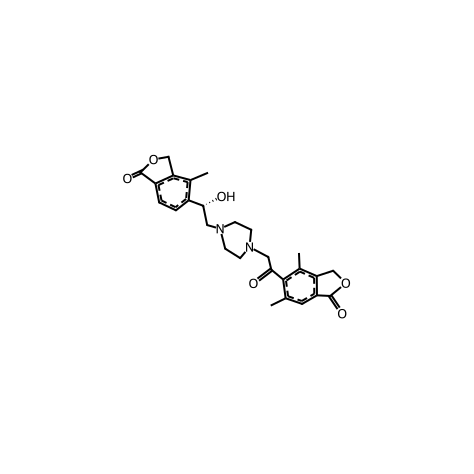 Cc1cc2c(c(C)c1C(=O)CN1CCN(C[C@@H](O)c3ccc4c(c3C)COC4=O)CC1)COC2=O